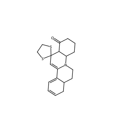 O=C1CCCC2C1C1(C=C3C4=CC=CCC4CCN32)SCCS1